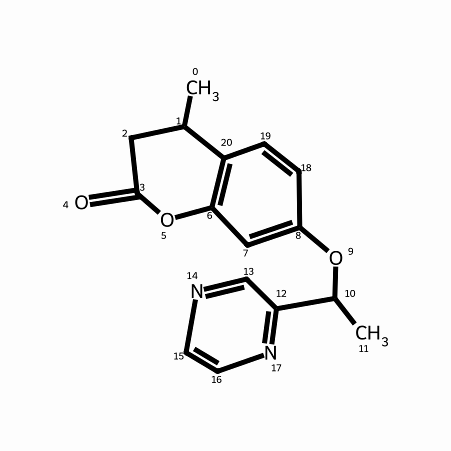 CC1CC(=O)Oc2cc(OC(C)c3cnccn3)ccc21